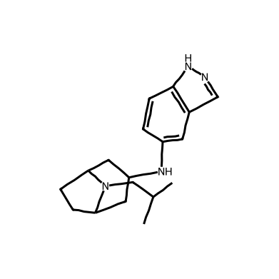 CC(C)CN1C2CCC1CC(Nc1ccc3[nH]ncc3c1)C2